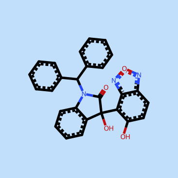 O=C1N(C(c2ccccc2)c2ccccc2)c2ccccc2C1(O)c1c(O)ccc2nonc12